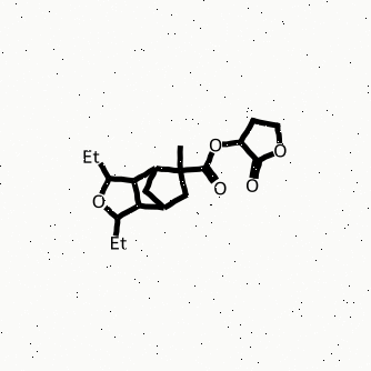 CCC1OC(CC)C2C1C1CC2C(C)(C(=O)OC2CCOC2=O)C1